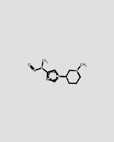 CN1CCCC(n2cnc(N(C)N=O)c2)C1